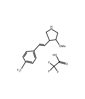 COC1CNCC1C=Cc1ccc(C(F)(F)F)cc1.O=C(O)C(F)(F)F